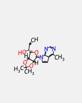 C#CC(O)[C@@H]1O[C@@H](n2ccc3c(C)ncnc32)[C@@H]2OC(C)(C)O[C@@H]21